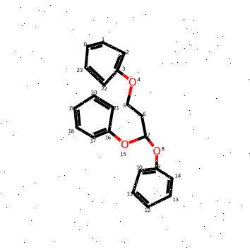 c1ccc(OCC[C](Oc2ccccc2)Oc2ccccc2)cc1